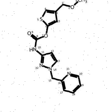 COCc1csc(OC(=O)Nc2ccn(Cc3ccccn3)n2)c1